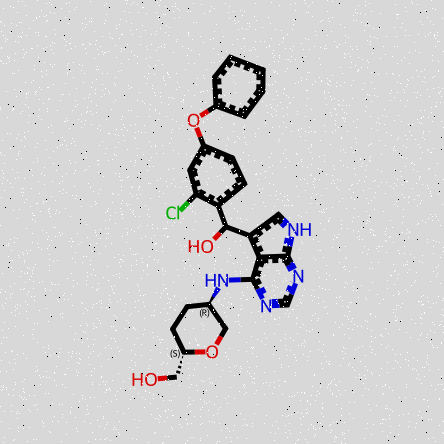 OC[C@@H]1CC[C@@H](Nc2ncnc3[nH]cc(C(O)c4ccc(Oc5ccccc5)cc4Cl)c23)CO1